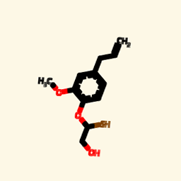 C=CCc1ccc(OC(S)CO)c(OC)c1